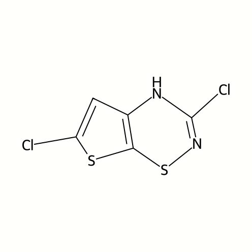 ClC1=NSc2sc(Cl)cc2N1